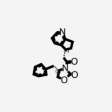 O=C(C[C@H]1CCc2ncccc21)N1C(=O)OC[C@@H]1Cc1ccccc1